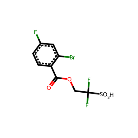 O=C(OCC(F)(F)S(=O)(=O)O)c1ccc(F)cc1Br